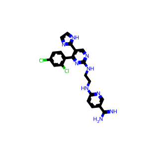 N=C(N)c1ccc(NCCNc2ncc(-c3ncc[nH]3)c(-c3ccc(Cl)cc3Cl)n2)nc1